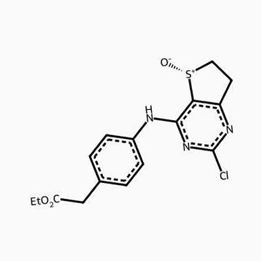 CCOC(=O)Cc1ccc(Nc2nc(Cl)nc3c2[S@+]([O-])CC3)cc1